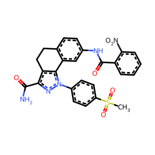 CS(=O)(=O)c1ccc(-n2nc(C(N)=O)c3c2-c2cc(NC(=O)c4ccccc4[N+](=O)[O-])ccc2CC3)cc1